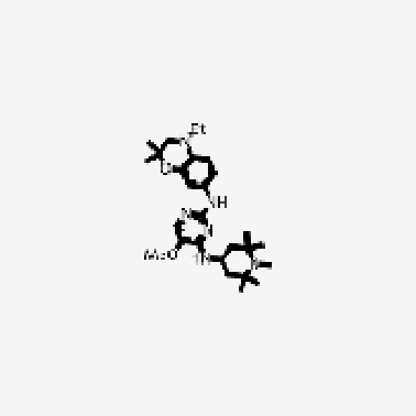 CCN1CC(C)(C)Oc2cc(Nc3ncc(OC)c(NC4CC(C)(C)N(C)C(C)(C)C4)n3)ccc21